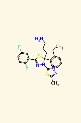 CCc1ccccc1C1(CCCN)SC(c2cc(F)ccc2F)=NN1c1nnc(C)s1